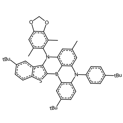 Cc1cc2c3c(c1)N(c1c(C)cc4c(c1C)OCO4)c1c(sc4ccc(C(C)(C)C)cc14)B3c1cc(C(C)(C)C)ccc1N2c1ccc(C(C)(C)C)cc1